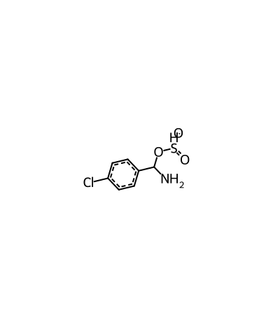 NC(O[SH](=O)=O)c1ccc(Cl)cc1